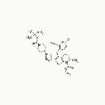 COC(=O)N1c2ccc(-c3cnn(C4CCN(C(=O)OC(C)(C)C)CC4)c3)c(Oc3ccc(Cl)cc3C#N)c2CC[C@@H]1C